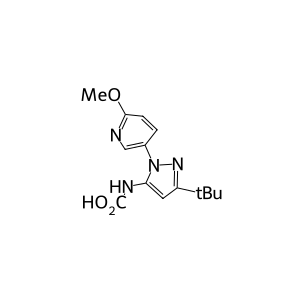 COc1ccc(-n2nc(C(C)(C)C)cc2NC(=O)O)cn1